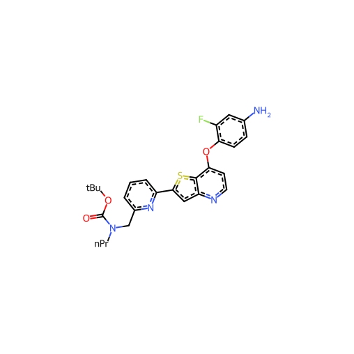 CCCN(Cc1cccc(-c2cc3nccc(Oc4ccc(N)cc4F)c3s2)n1)C(=O)OC(C)(C)C